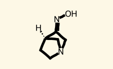 ON=C1CN2CC[C@@H]1C2